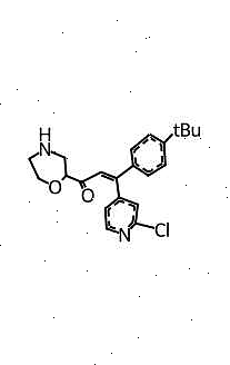 CC(C)(C)c1ccc(C(=CC(=O)C2CNCCO2)c2ccnc(Cl)c2)cc1